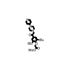 COC(=O)COc1c(C(C)(C)C)cc(C(=O)CN2CCN(c3ccncc3)CC2)cc1C(C)(C)C